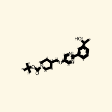 CC(O)c1cccc(-c2ncc(OCC3CCN(C(=O)OC(C)(C)C)CC3)cn2)c1